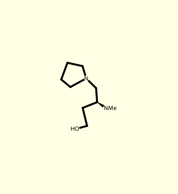 CN[C@@H](CCO)CN1CCCC1